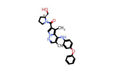 Cc1c(C(=O)N2CCC[C@H]2CO)cn2ncc(C#N)c(Nc3ccc(Oc4ccccc4)cc3)c12